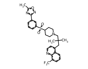 Cc1nc(-c2cccc(S(=O)(=O)C3CCN(CC(C)(C)Cc4ccnc5c(C(F)(F)F)cccc45)CC3)c2)no1